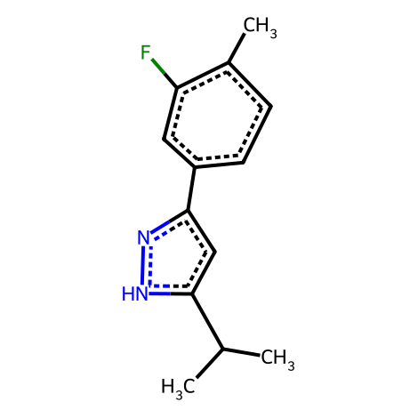 Cc1ccc(-c2cc(C(C)C)[nH]n2)cc1F